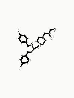 OCC(O)CN1CCN(CC(OCc2ccc(F)cc2)OCc2ccc(F)cc2)CC1